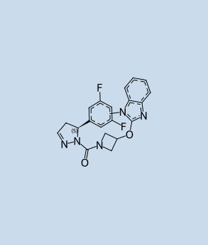 Cn1c(OC2CN(C(=O)N3N=CC[C@H]3c3cc(F)cc(F)c3)C2)nc2ccccc21